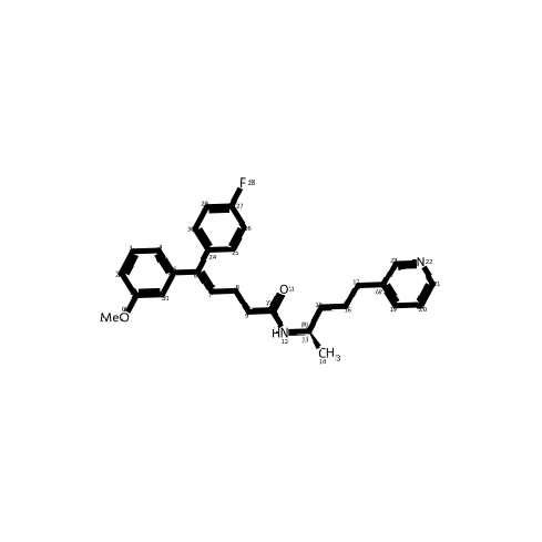 COc1cccc(C(=CCCC(=O)N[C@H](C)CCCc2cccnc2)c2ccc(F)cc2)c1